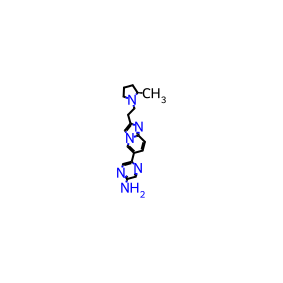 C[C@@H]1CCCN1CCc1cn2cc(-c3cnc(N)cn3)ccc2n1